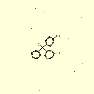 Cc1ccc(C(Cl)(c2ccccc2)c2cccc(C)c2)cc1